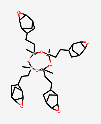 C[Si]1(CCC2CC3CC2C2OC32)O[Si](C)(CCC2CC3CC2C2OC32)O[Si](C)(CCC2CC3CC2C2OC32)O[Si](C)(CCC2CC3CC2C2OC32)O1